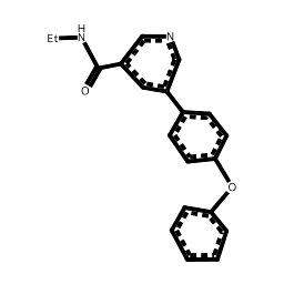 CCNC(=O)c1cncc(-c2ccc(Oc3ccccc3)cc2)c1